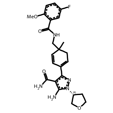 COc1ccc(F)cc1C(=O)NCC1(C)C=CC(c2nn([C@@H]3CCOC3)c(N)c2C(N)=O)=CC1